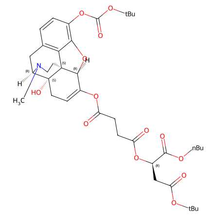 CCCCOC(=O)[C@@H](CC(=O)OC(C)(C)C)OC(=O)CCC(=O)OC1=CC[C@@]2(O)[C@H]3Cc4ccc(OC(=O)OC(C)(C)C)c5c4[C@@]2(CCN3C)[C@H]1O5